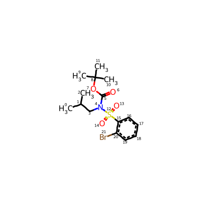 CC(C)CN(C(=O)OC(C)(C)C)S(=O)(=O)c1ccccc1Br